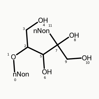 CCCCCCCCCOC(CO)C(O)C(O)(CO)CCCCCCCCC